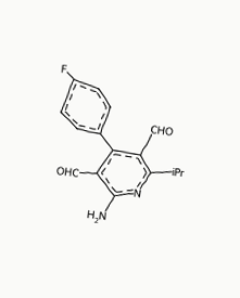 CC(C)c1nc(N)c(C=O)c(-c2ccc(F)cc2)c1C=O